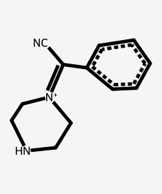 N#CC(c1ccccc1)=[N+]1CCNCC1